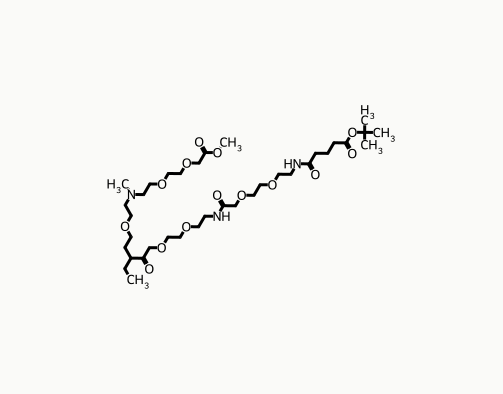 CCC(CCOCCN(C)CCOCCOCC(=O)OC)C(=O)COCCOCCNC(=O)COCCOCCNC(=O)CCCC(=O)OC(C)(C)C